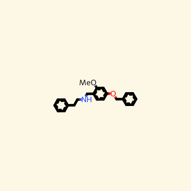 COc1cc(OCc2ccccc2)ccc1CNCCc1ccccc1